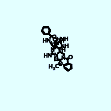 COC(=O)N(CC1NC(=N)N2CC(NC(=O)c3ccccc3)C(O)(O)[C@@]23NC(=N)N[C@@H]13)C(=O)c1ccccc1